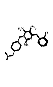 CN(C)C[C@H]1CC[C@@H](CN2C(N)=NC(Cc3ccccc3Cl)=C([N+](=O)[O-])C2N)CC1